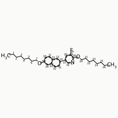 CCCCCCCCOc1ccc2cc(-c3cnc(OCCCCCCCC)c(F)c3)ccc2c1